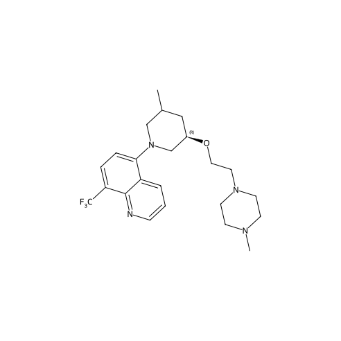 CC1C[C@@H](OCCN2CCN(C)CC2)CN(c2ccc(C(F)(F)F)c3ncccc23)C1